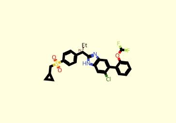 CC[C@@H](c1ccc(S(=O)(=O)CC2CC2)cc1)c1nc2cc(-c3ccccc3OC(F)F)c(Cl)cc2[nH]1